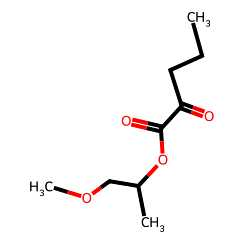 CCCC(=O)C(=O)OC(C)COC